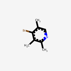 Cc1cnc(C)c(C)c1Br